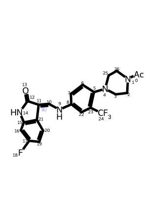 CC(=O)N1CCN(c2ccc(N/C=C3/C(=O)Nc4cc(F)ccc43)cc2C(F)(F)F)CC1